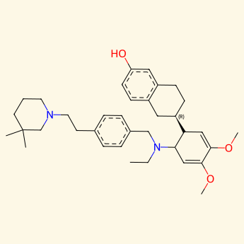 CCN(Cc1ccc(CCN2CCCC(C)(C)C2)cc1)C1C=C(OC)C(OC)=CC1[C@@H]1CCc2cc(O)ccc2C1